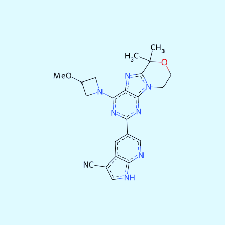 COC1CN(c2nc(-c3cnc4[nH]cc(C#N)c4c3)nc3c2nc2n3CCOC2(C)C)C1